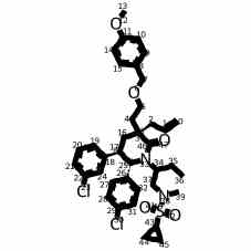 C=CC[C@]1(CCOCc2ccc(OC)cc2)C[C@H](c2cccc(Cl)c2)[C@@H](c2ccc(Cl)cc2)N(C(CC)CN(C)S(=O)(=O)C2CC2)C1=O